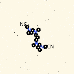 N#Cc1ccc(-n2c3cccc4ccc5c(N(c6ccccc6)c6ccc7c(ccc8cc(N(c9ccccc9)c9ccc%10c%11c9ccc9cccc(c9%11)n%10-c9ccc(C#N)cc9)ccc87)c6)ccc2c5c43)cc1